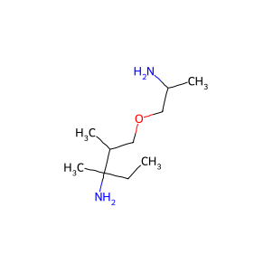 CCC(C)(N)C(C)COCC(C)N